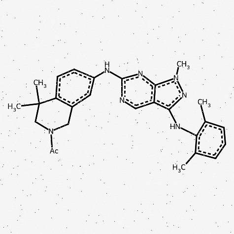 CC(=O)N1Cc2cc(Nc3ncc4c(Nc5c(C)cccc5C)nn(C)c4n3)ccc2C(C)(C)C1